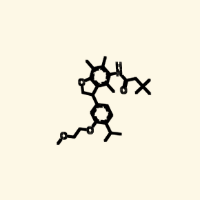 COCCOc1cc(C2COc3c(C)c(C)c(NC(=O)CC(C)(C)C)c(C)c32)ccc1C(C)C